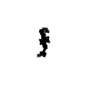 Cc1ccc(C2(c3ccc(C)cc3)c3cc(-c4nc5sc(/C=C6\C(=O)c7ccccc7C6=C(C#N)C#N)nc5s4)ccc3-c3cc4c(cc32)-c2ccc(-c3nc5sc(CCCCCCC/C=C6\C(=O)c7ccccc7C6=C(C#N)C#N)nc5s3)cc2C4(c2ccc(C)cc2)c2ccc(C)cc2)cc1